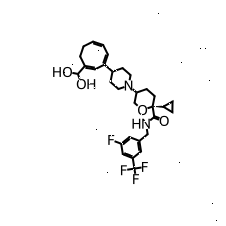 O=C(NCc1cc(F)cc(C(F)(F)F)c1)[C@@]1(C2CC2)CCC(N2CCC(C3=C/C=C\CC/C(C(O)O)=C\3)CC2)CO1